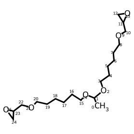 CC(OCCCCCCOCC1CO1)OCCCCCCOCC1CO1